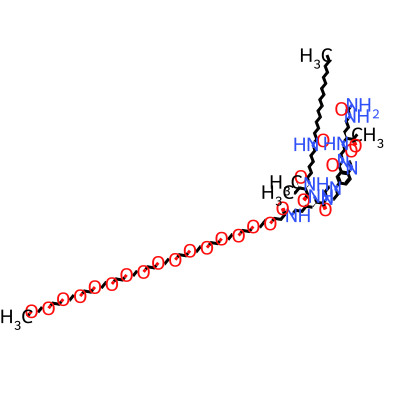 CCCCCCCCCCCCCCCC(=O)NCCCCCC(=O)N[C@H](C(=O)N[C@@H](CCCCNC(=O)CCOCCOCCOCCOCCOCCOCCOCCOCCOCCOCCOCCOCCOCCOCCOCCOC)C(=O)N1CCN(c2ccc3ncn(CC(=O)N[C@@H](CCCNC(N)=O)C(C)=O)c(=O)c3c2)CC1)[C@@H](C)CC